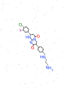 NCCCNCc1ccc(-c2cn3c(=O)cc(-c4ccc(Cl)c(I)c4)[nH]c3nc2=O)cc1